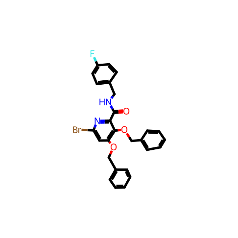 O=C(NCc1ccc(F)cc1)c1nc(Br)cc(OCc2ccccc2)c1OCc1ccccc1